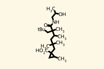 CC(O)CNC(=O)C(C)(CC(C)(C)C)C(C)CC(C)(C)CC1(C(=O)O)CC1C